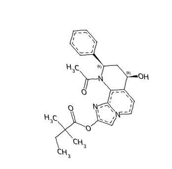 CCC(C)(C)C(=O)Oc1cn2ccc3c(c2n1)N(C(C)=O)[C@@H](c1ccccc1)C[C@H]3O